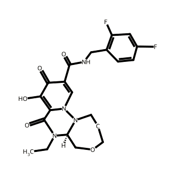 CCN1C(=O)c2c(O)c(=O)c(C(=O)NCc3ccc(F)cc3F)cn2N2CCCOC[C@@H]12